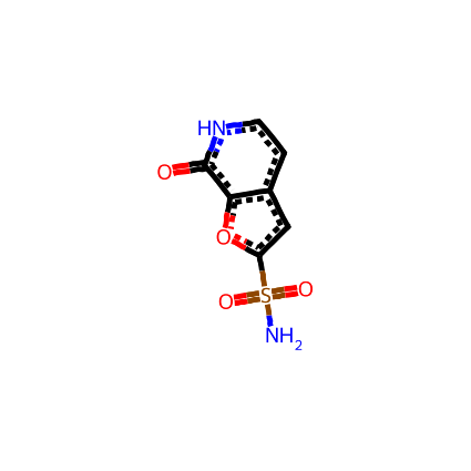 NS(=O)(=O)c1cc2cc[nH]c(=O)c2o1